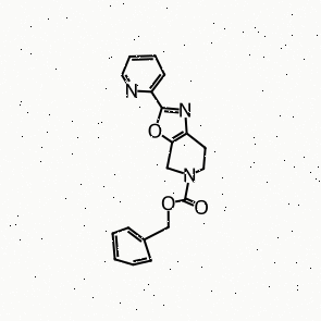 O=C(OCc1ccccc1)N1CCc2nc(-c3ccccn3)oc2C1